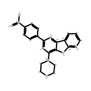 O=[N+]([O-])c1ccc(-c2nc(N3CCOCC3)c3oc4ncccc4c3n2)cc1